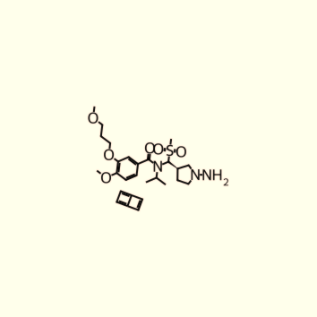 COCCCOc1cc(C(=O)N(C(C)C)C([C@@H]2CCN(N)C2)S(C)(=O)=O)ccc1OC.c1cc2ccc1-2